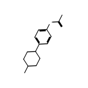 CC(=O)Oc1ccc(C2CCC(C)CC2)cc1